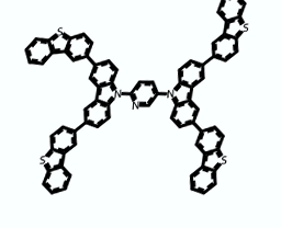 c1ccc2c(c1)sc1ccc(-c3ccc4c(c3)c3cc(-c5ccc6sc7ccccc7c6c5)ccc3n4-c3ccc(-n4c5ccc(-c6ccc7sc8ccccc8c7c6)cc5c5cc(-c6ccc7sc8ccccc8c7c6)ccc54)nc3)cc12